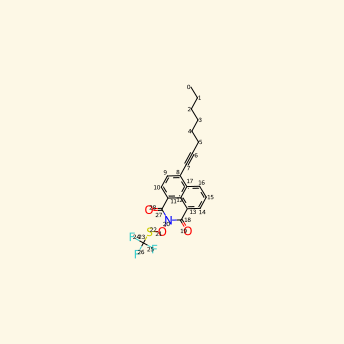 CCCCCCC#Cc1ccc2c3c(cccc13)C(=O)N(OSC(F)(F)F)C2=O